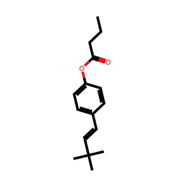 CCCC(=O)Oc1ccc(/C=C/C(C)(C)C)cc1